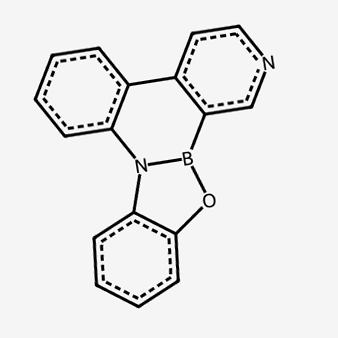 c1ccc2c(c1)OB1c3cnccc3-c3ccccc3N12